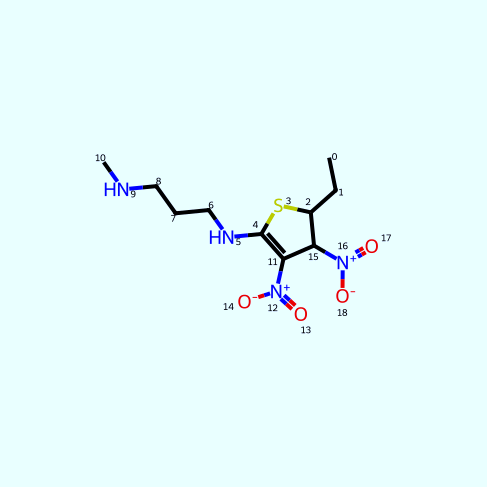 CCC1SC(NCCCNC)=C([N+](=O)[O-])C1[N+](=O)[O-]